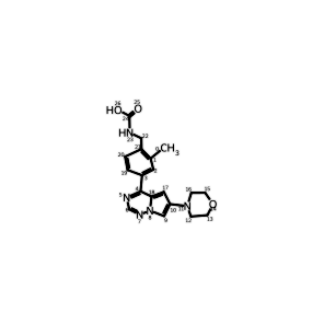 Cc1cc(-c2ncnn3cc(N4CCOCC4)cc23)ccc1CNC(=O)O